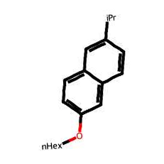 CCCCCCOc1ccc2cc(C(C)C)ccc2c1